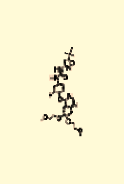 COCCOc1cc2ncnc(Oc3ccc(NC(=O)Nc4cc(C(C)(C)C)on4)cc3F)c2cc1OCCOC